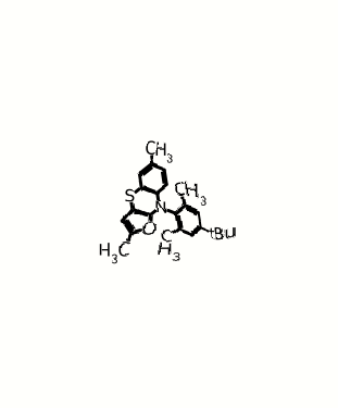 Cc1ccc2c(c1)Sc1cc(C)oc1N2c1c(C)cc(C(C)(C)C)cc1C